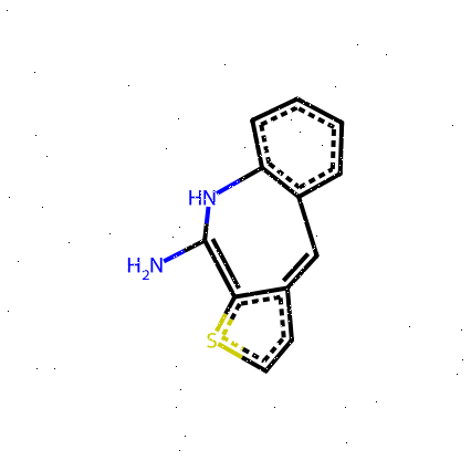 NC1=c2sccc2=Cc2ccccc2N1